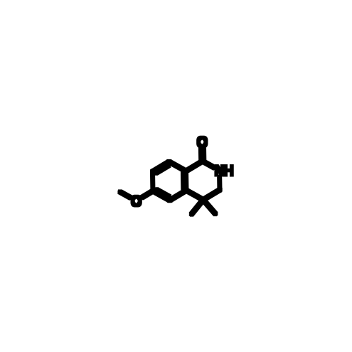 COc1ccc2c(c1)C(C)(C)CNC2=O